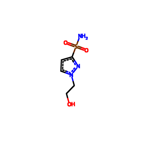 NS(=O)(=O)c1ccn(CCO)n1